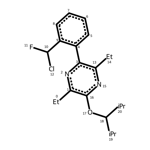 CCc1nc(-c2ccccc2C(F)Cl)c(CC)nc1OC(C(C)C)C(C)C